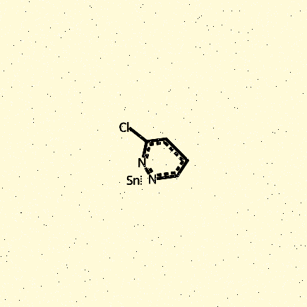 Clc1cccnn1.[Sn]